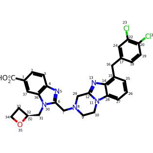 O=C(O)c1ccc2nc(CN3CCn4c(nc5c(Cc6ccc(Cl)c(Cl)c6)cccc54)C3)n(C[C@@H]3CCO3)c2c1